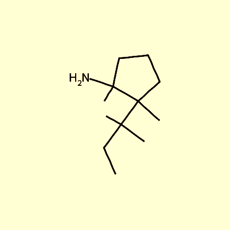 CCC(C)(C)C1(C)CCCC1(C)N